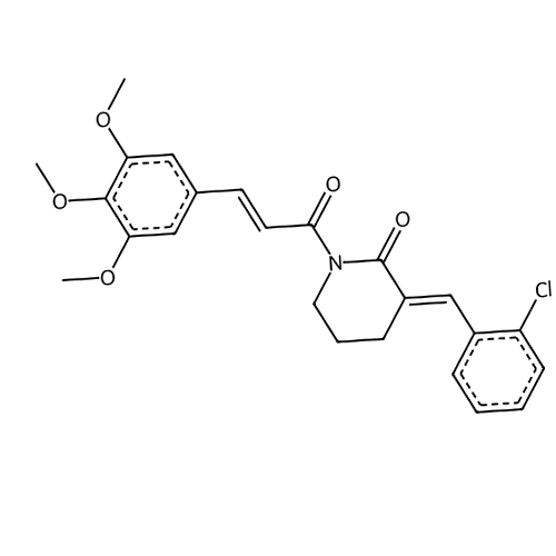 COc1cc(/C=C/C(=O)N2CCC/C(=C\c3ccccc3Cl)C2=O)cc(OC)c1OC